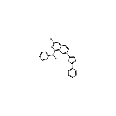 Nc1nc(N(Br)c2ccccc2)c2cc(-c3ccc(-c4ccccc4)s3)ccc2n1